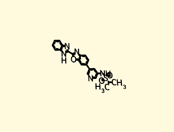 CC(C)S(=O)(=O)Nc1cncc(-c2ccc3nc(-c4nc5ccccc5[nH]4)oc3c2)c1